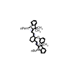 CCCCCN1/C(=C/C=C2\CCCC(/C=C/C3=[N+](CCCC)c4ccccc4C3(C)C)=C2Oc2ccccc2)C(C)(C)c2ccccc21